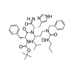 CCCCC(=O)N(Cc1ccccc1)C[C@H](O)C(CC(C)C)N(C(=O)[C@H](Cc1ccccc1)NC(=O)OC(C)(C)C)[C@@H](Cc1c[nH]cn1)C(N)=O